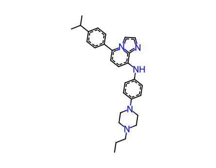 CCCN1CCN(c2ccc(Nc3ccc(-c4ccc(C(C)C)cc4)n4ccnc34)cc2)CC1